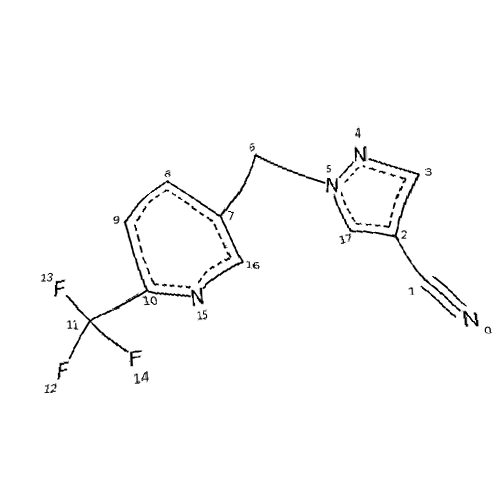 N#Cc1cnn(Cc2ccc(C(F)(F)F)nc2)c1